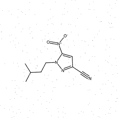 CC(C)CCn1nc(C#N)cc1[N+](=O)[O-]